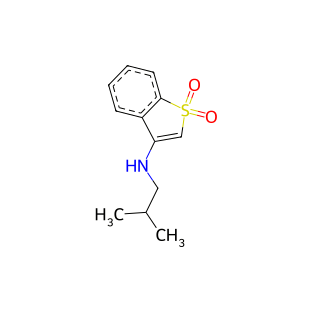 CC(C)CNC1=CS(=O)(=O)c2ccccc21